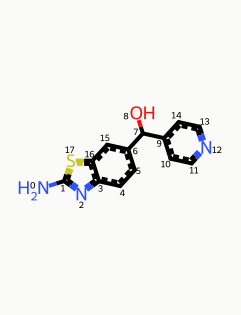 Nc1nc2ccc(C(O)c3ccncc3)cc2s1